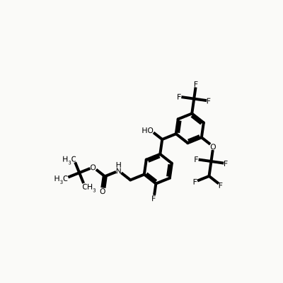 CC(C)(C)OC(=O)NCc1cc(C(O)c2cc(OC(F)(F)C(F)F)cc(C(F)(F)F)c2)ccc1F